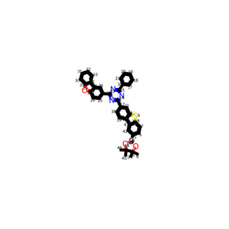 CC1(C)OB(c2ccc3sc4cc(-c5nc(-c6ccccc6)nc(-c6ccc7oc8ccccc8c7c6)n5)ccc4c3c2)OC1(C)C